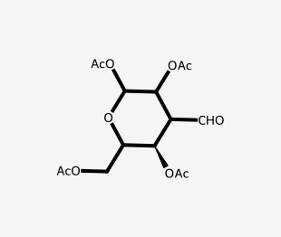 CC(=O)OCC1OC(OC(C)=O)C(OC(C)=O)C(C=O)[C@H]1OC(C)=O